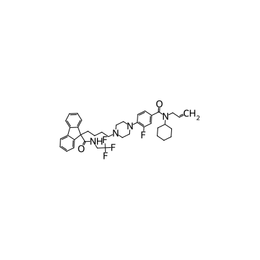 C=CCN(C(=O)c1ccc(N2CCN(CCCCC3(C(=O)NCC(F)(F)F)c4ccccc4-c4ccccc43)CC2)c(F)c1)C1CCCCC1